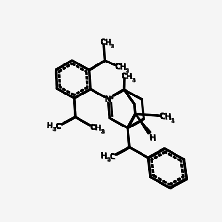 CC(C)c1cccc(C(C)C)c1[N+]1=CC2(C(C)c3ccccc3)CCC1(C)C[C@@H]2C